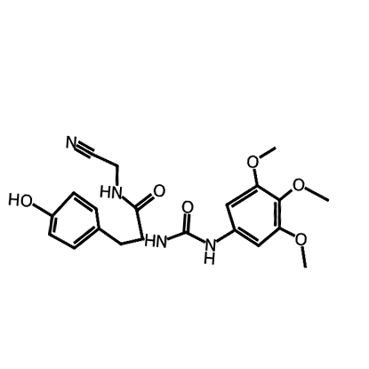 COc1cc(NC(=O)NC(Cc2ccc(O)cc2)C(=O)NCC#N)cc(OC)c1OC